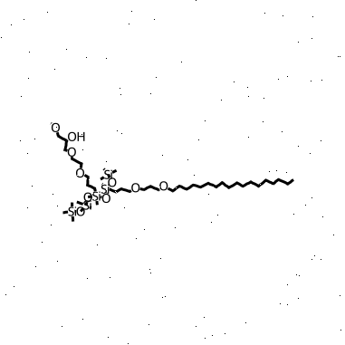 CCCCCCCCCCCCCCCCCCOCCCOCCC[Si](C)(O[Si](C)(C)C)O[Si](C)(CCCOCCOCC(O)COC)O[Si](C)(C)O[Si](C)(C)C